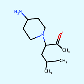 CC(=O)C(CC(C)C)N1CCC(N)CC1